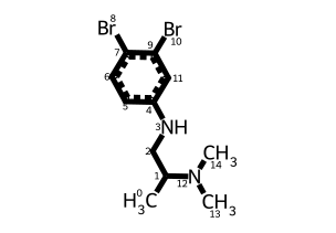 CC(CNc1ccc(Br)c(Br)c1)N(C)C